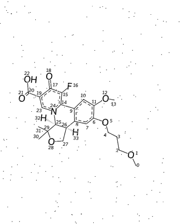 COCCCOc1cc2c(cc1OC)-c1c(F)c(=O)c(C(=O)O)cn1[C@H]1[C@@H]2COC1(C)C